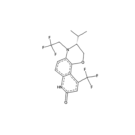 CC(C)[C@@H]1COc2c(ccc3[nH]c(=O)cc(C(F)(F)F)c23)N1CC(F)(F)F